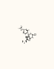 Nc1nc2cc(Cl)cc(-c3ccc(C4CC4)nc3)n2n1